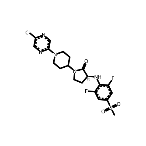 CS(=O)(=O)c1cc(F)c(N[C@H]2CCN(C3CCN(c4cnc(Cl)cn4)CC3)C2=O)c(F)c1